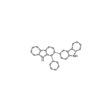 c1ccc(-c2c(-c3ccc4[nH]c5ccccc5c4c3)ccc3c2[nH]c2ccccc23)cc1